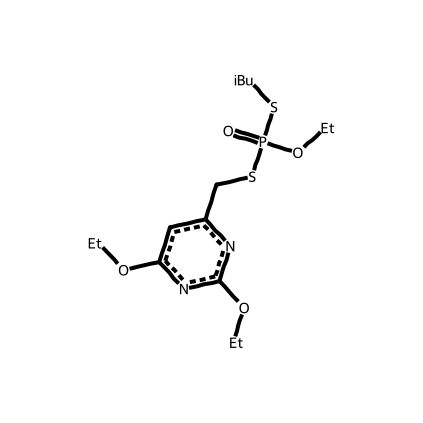 CCOc1cc(CSP(=O)(OCC)SC(C)CC)nc(OCC)n1